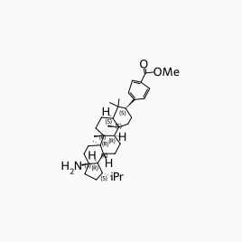 COC(=O)c1ccc([C@H]2CC[C@]3(C)[C@H]4CC[C@@H]5[C@H]6[C@H](C(C)C)CC[C@]6(N)CC[C@@]5(C)[C@]4(C)CC[C@H]3C2(C)C)cc1